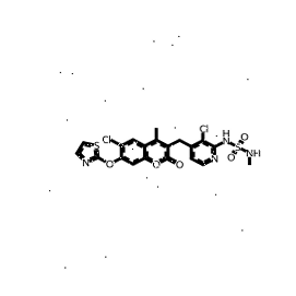 CNS(=O)(=O)Nc1nccc(Cc2c(C)c3cc(Cl)c(Oc4nccs4)cc3oc2=O)c1Cl